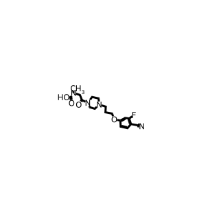 CN(CC(=O)N1CCN(CCCOc2ccc(C#N)c(F)c2)CC1)C(=O)O